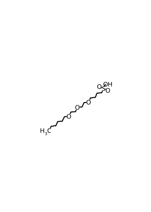 CCCCCCOCCOCCOCCCCS(=O)(=O)O